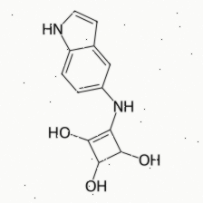 OC1=C(Nc2ccc3[nH]ccc3c2)C(O)C1O